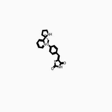 O=C1NC(=O)C(=Cc2ccc(OC[C@]3(c4ccccn4)CCCN3)cc2)S1